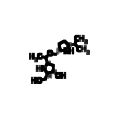 CC(C)[C@H]1CC[C@@H](COC(C)[C@H]2C[C@H](O)[C@@H](CO)N2)N1